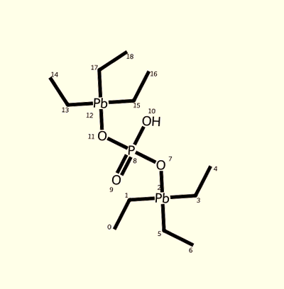 C[CH2][Pb]([CH2]C)([CH2]C)[O]P(=O)(O)[O][Pb]([CH2]C)([CH2]C)[CH2]C